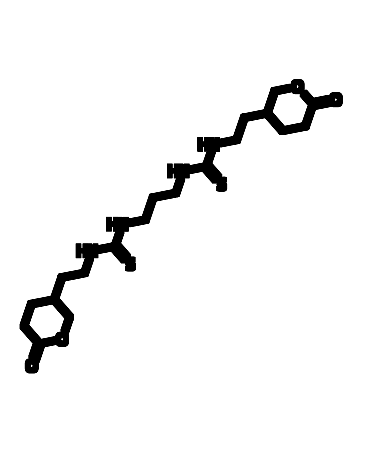 O=C1CCC(CCNC(=S)NCCCNC(=S)NCCC2CCC(=O)OC2)CO1